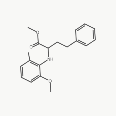 COC(=O)C(CCc1ccccc1)Nc1c(C)cccc1OC